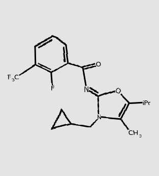 Cc1c(C(C)C)o/c(=N\C(=O)c2cccc(C(F)(F)F)c2F)n1CC1CC1